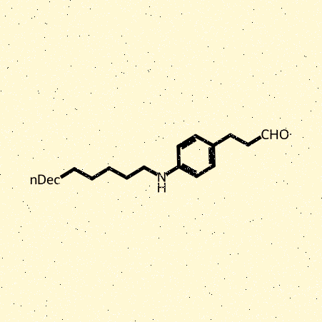 CCCCCCCCCCCCCCCNc1ccc(CC[C]=O)cc1